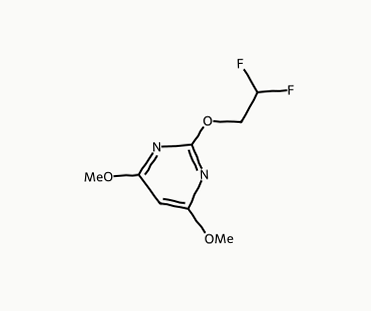 COc1cc(OC)nc(OCC(F)F)n1